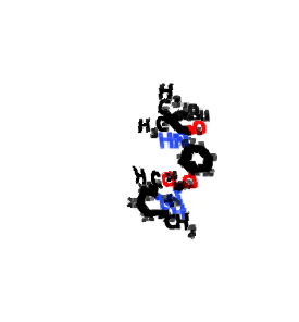 CCC(C)C(C)(C)C(=O)Nc1cccc(OC(=O)NN2C(C)CCCC2C)c1